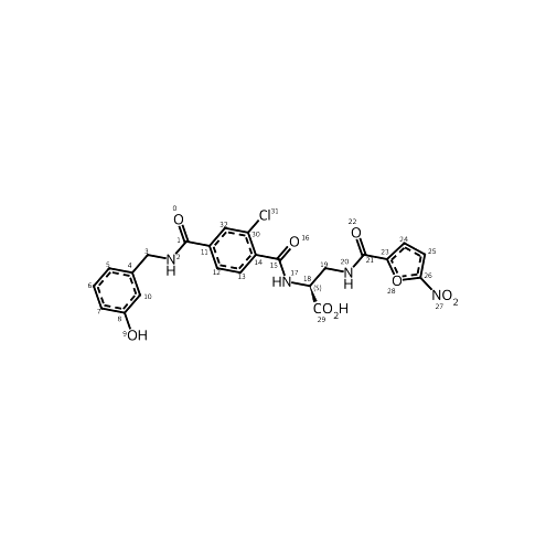 O=C(NCc1cccc(O)c1)c1ccc(C(=O)N[C@@H](CNC(=O)c2ccc([N+](=O)[O-])o2)C(=O)O)c(Cl)c1